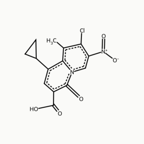 Cc1c(Cl)c([N+](=O)[O-])cn2c(=O)c(C(=O)O)cc(C3CC3)c12